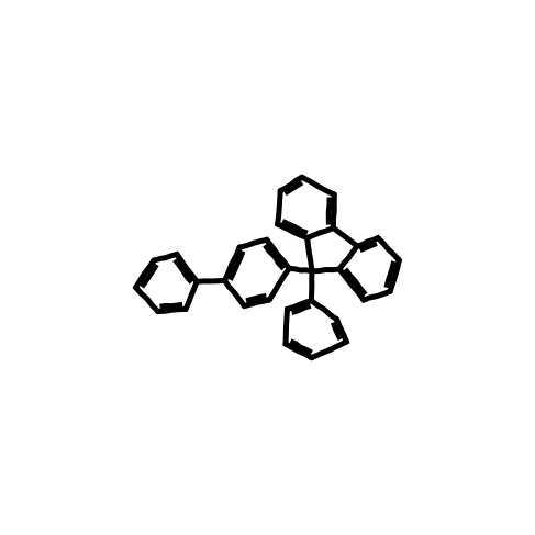 c1ccc(-c2ccc(C3(c4ccccc4)c4ccccc4-c4ccccc43)cc2)cc1